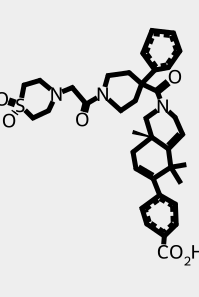 CC1(C)C(c2ccc(C(=O)O)cc2)=CC[C@]2(C)CN(C(=O)C3(c4ccccc4)CCN(C(=O)CN4CCS(=O)(=O)CC4)CC3)CC=C12